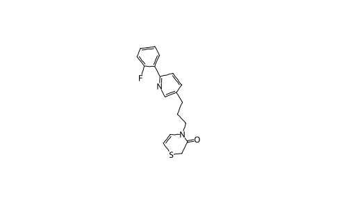 O=C1CSC=CN1CCCc1ccc(-c2ccccc2F)nc1